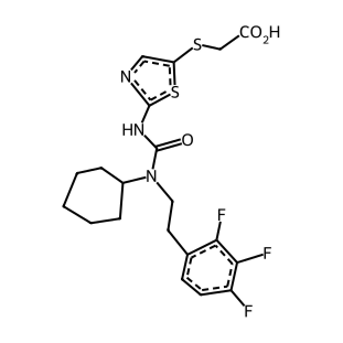 O=C(O)CSc1cnc(NC(=O)N(CCc2ccc(F)c(F)c2F)C2CCCCC2)s1